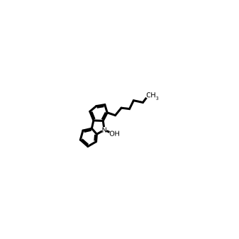 CCCCCCc1cccc2c3ccccc3n(O)c12